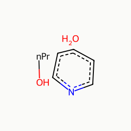 CCCO.O.c1ccncc1